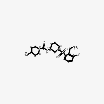 NCc1c(Cl)cccc1S(=O)(=O)N1CCC[C@H](NC(=O)N2CCC(O)CC2)C1